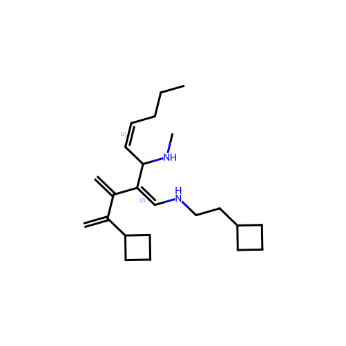 C=C(C(=C)C1CCC1)/C(=C/NCCC1CCC1)C(/C=C\CCC)NC